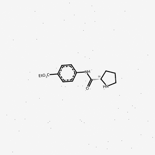 CCOC(=O)c1ccc(NC(=O)[C@@H]2CCCN2)cc1